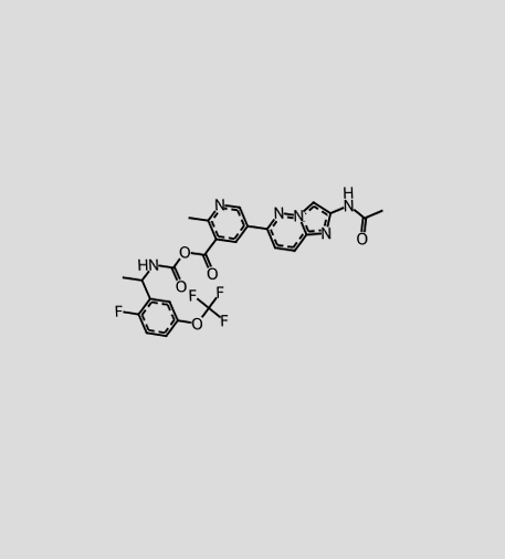 CC(=O)Nc1cn2nc(-c3cnc(C)c(C(=O)OC(=O)NC(C)c4cc(OC(F)(F)F)ccc4F)c3)ccc2n1